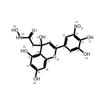 O=C(CC1(O)C=C(c2cc(O)c(O)c([N+](=O)[O-])c2)Oc2cc(O)cc(O)c21)NO